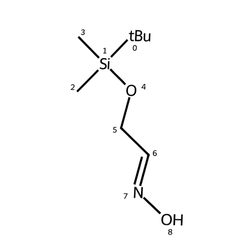 CC(C)(C)[Si](C)(C)OC/C=N/O